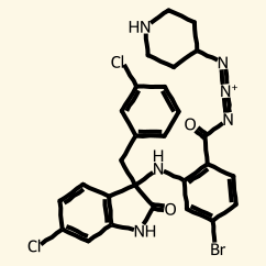 O=C(N=[N+]=NC1CCNCC1)c1ccc(Br)cc1NC1(Cc2cccc(Cl)c2)C(=O)Nc2cc(Cl)ccc21